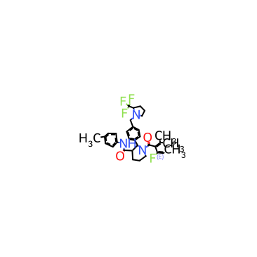 C/C=C(/F)C(C(=O)N1CCCC(C(=O)Nc2ccc(C)cc2)C1c1ccc(CN2CCCC2C(F)(F)F)cc1)=C(C)C